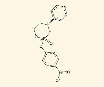 O=[N+]([O-])c1ccc(O[P@]2(=O)OCC[C@@H](c3ccncc3)O2)cc1